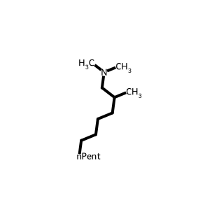 CCCCCCCCCC(C)CN(C)C